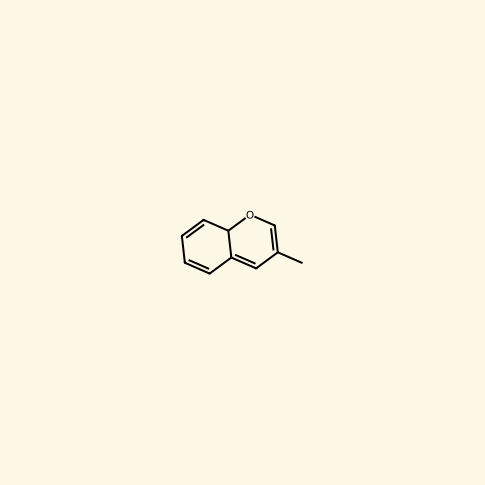 CC1=COC2C=CC=CC2=C1